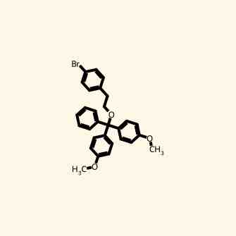 COc1ccc(C(OCCc2ccc(Br)cc2)(c2ccccc2)c2ccc(OC)cc2)cc1